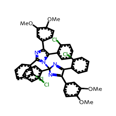 COc1ccc(C2=NC(c3ccccc3Cl)(n3c(-c4ccccc4Cl)nc(-c4ccc(OC)c(OC)c4)c3-c3ccccc3Cl)N=C2c2ccccc2Cl)cc1OC